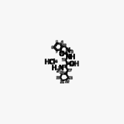 CN(Cc1ccccc1)C(=O)NC[C@@H](O)[C@@H](N)CC1CCCCC1.Cl